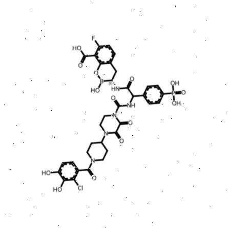 O=C(O)c1c(F)ccc2c1OB(O)[C@@H](NC(=O)C(NC(=O)N1CCN(C3CCN(C(=O)c4ccc(O)c(O)c4Cl)CC3)C(=O)C1=O)c1ccc(P(=O)(O)O)cc1)C2